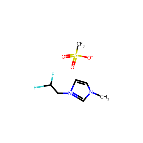 Cn1cc[n+](CC(F)F)c1.O=S(=O)([O-])C(F)(F)F